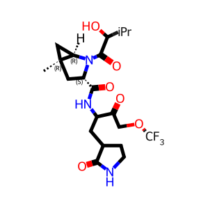 CC(C)C(O)C(=O)N1[C@H](C(=O)NC(CC2CCNC2=O)C(=O)COC(F)(F)F)C[C@@]2(C)C[C@@H]12